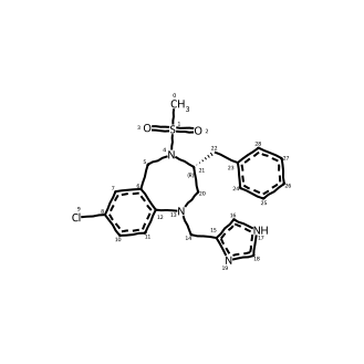 CS(=O)(=O)N1Cc2cc(Cl)ccc2N(Cc2c[nH]cn2)C[C@H]1Cc1ccccc1